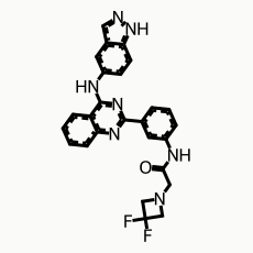 O=C(CN1CC(F)(F)C1)Nc1cccc(-c2nc(Nc3ccc4[nH]ncc4c3)c3ccccc3n2)c1